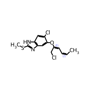 C/C=C\C=C(/CCl)Oc1cc2nc(SC)[nH]c2cc1Cl